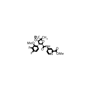 CCO[C@H]1[C@@H](c2ccc(F)c(F)c2OC)[C@H](C(=O)Nc2ccnc(C(=O)OC)c2)O[C@@]1(C)C(F)(F)F